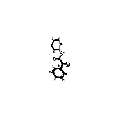 O=C(SC1CCCCC1)C(=O)c1ccccc1